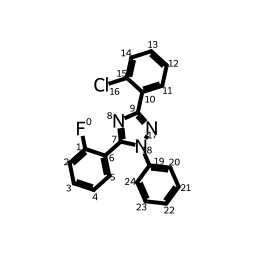 Fc1ccccc1-c1nc(-c2ccccc2Cl)nn1-c1ccccc1